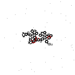 Cc1cc2c(cc1N1c3cc4c(cc3B3c5c(cc6oc7ccccc7c6c51)-c1cccc5c1N3c1ccccc1C5(C)C)oc1cc3c(cc14)C(C)(C)CCC3(C)C)C(C)(CCC1(C)CCC(C)(C)c3cc4c(cc31)oc1cc3c(cc14)B1c4c(cc5c(oc6ccccc65)c4-c4cccc5c4N1c1ccccc1C5(C)C)N3c1ccc(C(C)(C)C)cc1-c1ccccc1)CCC2(C)C